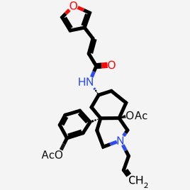 C=CCN1CC[C@@]2(c3cccc(OC(C)=O)c3)C[C@H](NC(=O)/C=C/c3ccoc3)CC[C@]2(OC(C)=O)C1